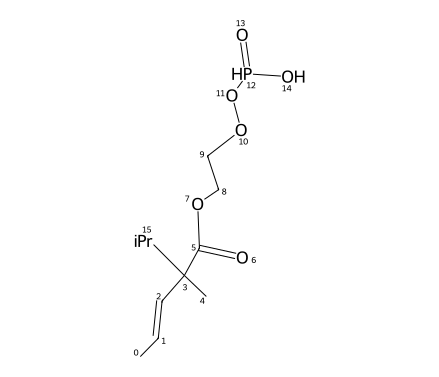 CC=CC(C)(C(=O)OCCOO[PH](=O)O)C(C)C